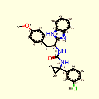 COc1ccc(CC(NC(=O)NC2(c3cccc(Cl)c3)CC2)c2nc3ccccc3[nH]2)cc1